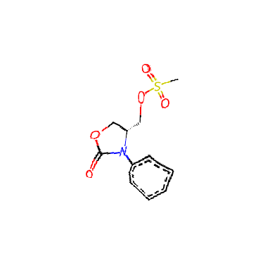 CS(=O)(=O)OC[C@H]1COC(=O)N1c1ccccc1